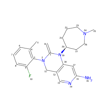 C=C1N(c2c(C)cccc2F)Cc2cnc(N)cc2N1[C@H]1CCCN(C)CC1